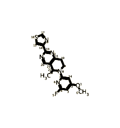 COc1cc(F)nc(N2CCc3nc(-c4cscn4)ncc3C2C)c1